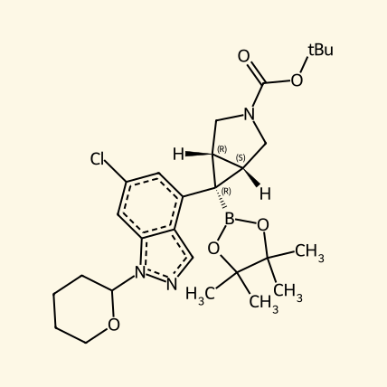 CC(C)(C)OC(=O)N1C[C@@H]2[C@H](C1)[C@@]2(B1OC(C)(C)C(C)(C)O1)c1cc(Cl)cc2c1cnn2C1CCCCO1